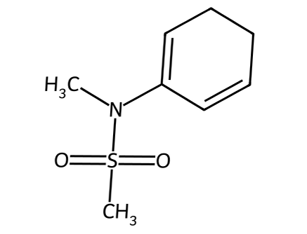 CN(C1=CCCC=C1)S(C)(=O)=O